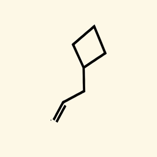 [CH]=CCC1CCC1